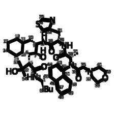 CC[C@H](C)CNC(=O)[C@@H](C[C@H](O)[C@H](CC1CCCCC1)NC(=O)[C@H](Cc1cscn1)NC(=O)[C@H](C)N(C(=O)CN1CCOCC1)c1cccc2ccccc12)C(C)(C)O